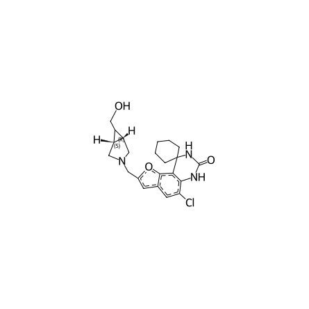 O=C1Nc2c(Cl)cc3cc(CN4C[C@@H]5C(CO)[C@@H]5C4)oc3c2C2(CCCCC2)N1